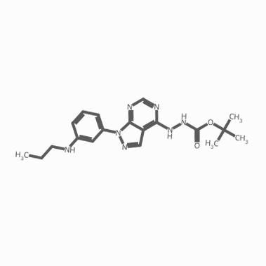 CCCNc1cccc(-n2ncc3c(NNC(=O)OC(C)(C)C)ncnc32)c1